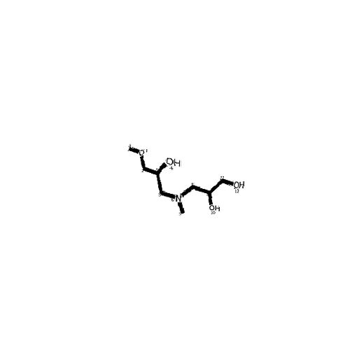 COCC(O)CN(C)CC(O)CO